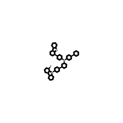 Fc1cccc2c3ccccc3n(-c3ccc(-c4cccc(N(c5ccc(-c6ccccc6)cc5)c5ccc(-c6cccc7c6sc6ccccc67)cc5)c4)cc3)c12